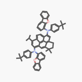 CC(C)c1cc(N(c2ccc(C(C)(C)C)cc2)c2cccc3c2oc2ccccc23)c2cc3c4c(cc(N(c5ccc(C(C)(C)C)cc5)c5cccc6c5oc5ccccc56)c5ccc1c2c54)CCC3(C)C